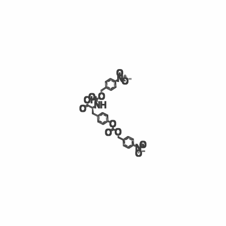 O=C(N[C@@H](Cc1ccc(OC(=O)OCc2ccc([N+](=O)[O-])cc2)cc1)C(=O)O)OCc1ccc([N+](=O)[O-])cc1